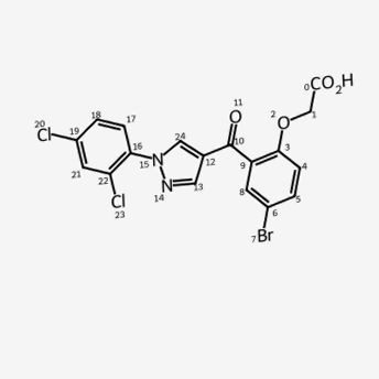 O=C(O)COc1ccc(Br)cc1C(=O)c1cnn(-c2ccc(Cl)cc2Cl)c1